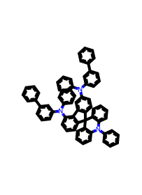 c1ccc(-c2cccc(N(c3ccccc3)c3ccc4c(c3)-c3c(N(c5ccccc5)c5cccc(-c6ccccc6)c5)cccc3C43c4ccccc4N(c4ccccc4)c4ccccc43)c2)cc1